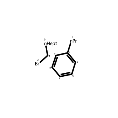 CCCCCCCCBr.CCCc1ccccc1